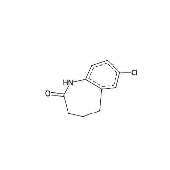 O=C1CCCc2cc(Cl)ccc2N1